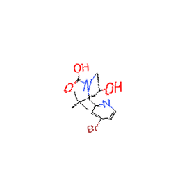 CC(C)(C)C1(c2cc(Br)ccn2)C(O)CN1C(=O)O